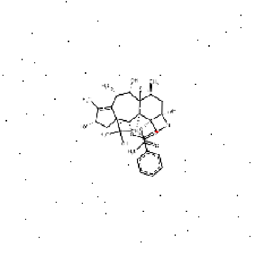 CC(=O)O[C@@]12CO[C@@H]1C[C@H](C)[C@]1(C)[C@@H]2[C@H](OC(=O)c2ccccc2)[C@]2(C(C)(C)O)C[C@H](O)C(C)=C2[C@H](C)[C@@H]1O